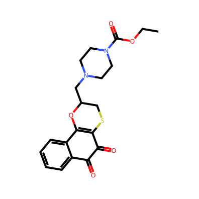 CCOC(=O)N1CCN(CC2CSC3=C(O2)c2ccccc2C(=O)C3=O)CC1